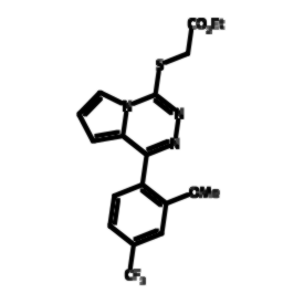 CCOC(=O)CSc1nnc(-c2ccc(C(F)(F)F)cc2OC)c2cccn12